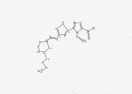 C=Cn1c([N+](=O)[O-])cnc1-c1nc(C=NN2CCSC(CCCC)C2)cs1